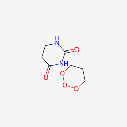 C1COOOC1.O=C1CCNC(=O)N1